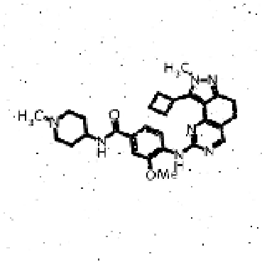 COc1cc(C(=O)NC2CCN(C)CC2)ccc1Nc1ncc2c(n1)-c1c(nn(C)c1C1CCC1)CC2